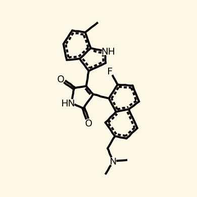 Cc1cccc2c(C3=C(c4c(F)ccc5ccc(CN(C)C)cc45)C(=O)NC3=O)c[nH]c12